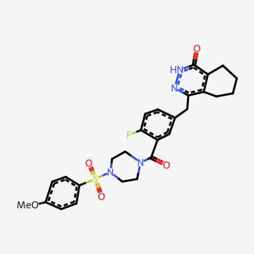 COc1ccc(S(=O)(=O)N2CCN(C(=O)c3cc(Cc4n[nH]c(=O)c5c4CCCC5)ccc3F)CC2)cc1